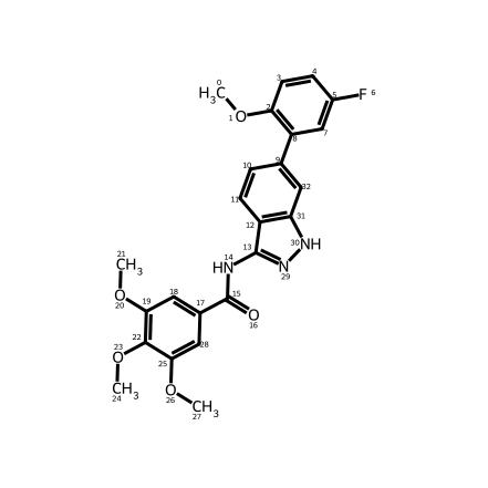 COc1ccc(F)cc1-c1ccc2c(NC(=O)c3cc(OC)c(OC)c(OC)c3)n[nH]c2c1